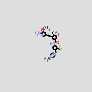 COc1cc(C#Cc2cc(C(=O)Nc3ccc(CN4CCN(C)CC4)c(C(F)(F)F)c3)ccc2C)cnc1N